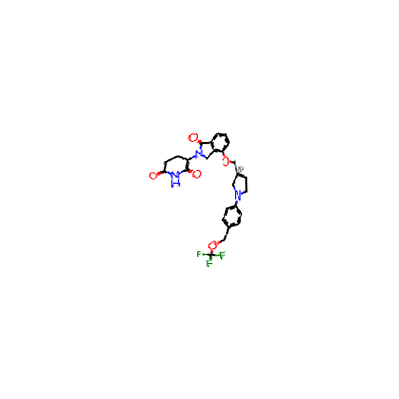 O=C1CCC(N2Cc3c(OC[C@H]4CCN(c5ccc(COC(F)(F)F)cc5)C4)cccc3C2=O)C(=O)N1